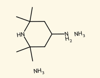 CC1(C)CC(N)CC(C)(C)N1.N.N